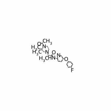 CC(=O)N1CCN([C@@H](C)C(=O)Nc2ccc(Oc3ccc(F)cc3)cn2)CC1(C)C